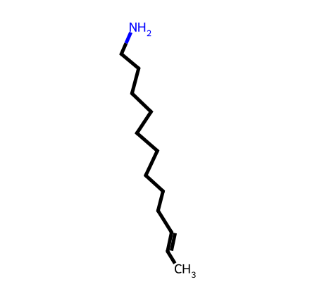 CC=CCCCCCCCCCN